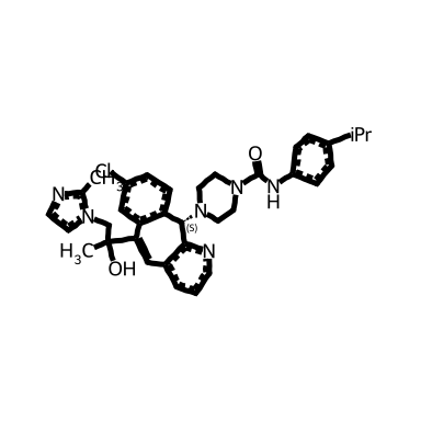 Cc1nccn1CC(C)(O)C1=Cc2cccnc2[C@@H](N2CCN(C(=O)Nc3ccc(C(C)C)cc3)CC2)c2ccc(Cl)cc21